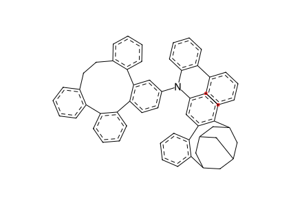 c1ccc(-c2ccccc2N(c2ccc3c(c2)-c2ccccc2CCc2ccccc2-c2ccccc2-3)c2ccc3c(c2)-c2ccccc2C2CC4CC(C2)CC3C4)cc1